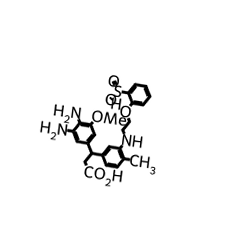 COc1cc(C(CC(=O)O)c2ccc(C)c(NCCOc3ccccc3[SH](=O)=O)c2)cc(N)c1N